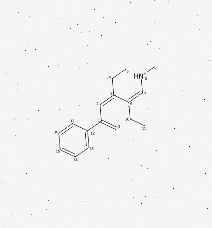 C=C(/C=C(CC)\C(=C/NC)CC)c1ccccc1